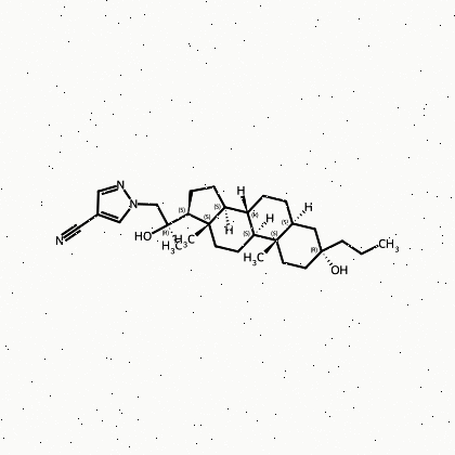 CCC[C@@]1(O)CC[C@@]2(C)[C@@H](CC[C@@H]3[C@@H]2CC[C@@]2(C)[C@H]3CC[C@@H]2[C@@](C)(O)Cn2cc(C#N)cn2)C1